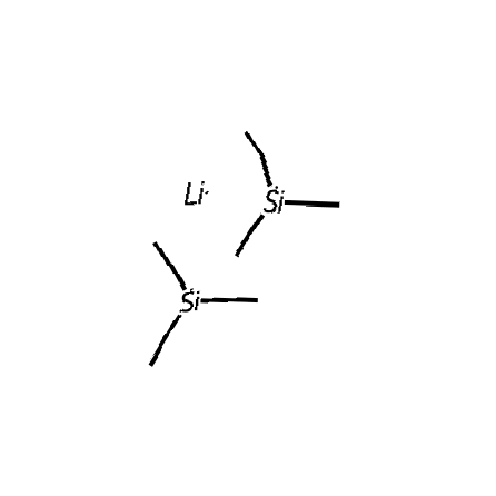 C[Si](C)C.C[Si](C)C.[Li]